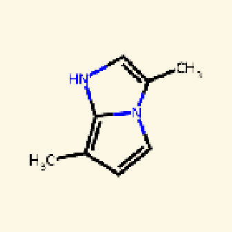 Cc1ccn2c(C)c[nH]c12